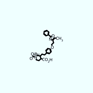 Cc1oc(-c2ccccc2)nc1CCOc1ccc(CCC2CN(C(=O)OCC(C)C)CCC2C(=O)O)cc1